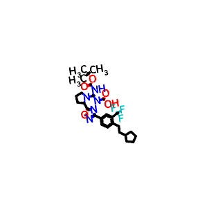 CC(C)(C)OC(=O)NC(=NC(=O)O)N1CCCC1c1nc(-c2ccc(CCC3CCCC3)c(C(F)(F)F)c2)no1